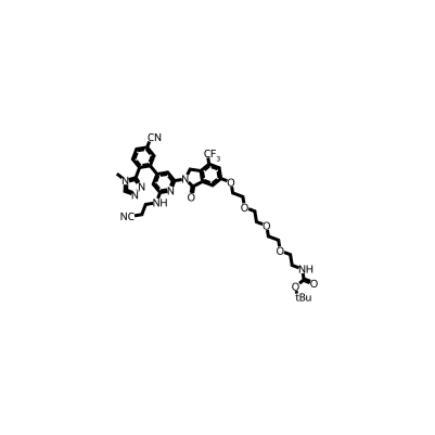 Cn1cnnc1-c1ccc(C#N)cc1-c1cc(NCCC#N)nc(N2Cc3c(cc(OCCOCCOCCOCCNC(=O)OC(C)(C)C)cc3C(F)(F)F)C2=O)c1